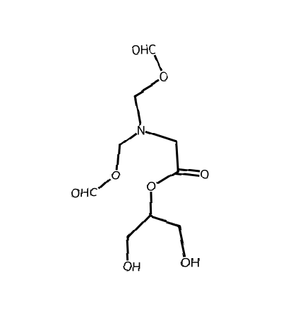 O=COCN(COC=O)CC(=O)OC(CO)CO